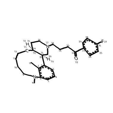 Cc1c2cccc1N(C)CCCCC[C@H]1CCN(CCCC(=O)c3ccc(F)cc3)C[C@@H]21